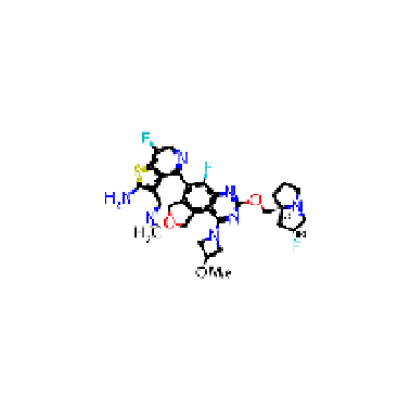 C=NCc1c(N)sc2c(F)cnc(-c3c4c(c5c(N6CC(OC)C6)nc(OC[C@@]67CCCN6C[C@H](F)C7)nc5c3F)COC4)c12